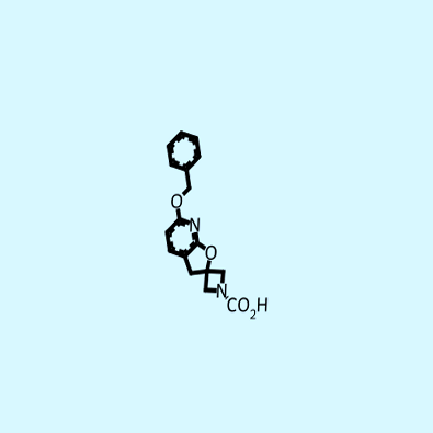 O=C(O)N1CC2(Cc3ccc(OCc4ccccc4)nc3O2)C1